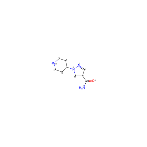 NC(=O)C1C=NN(C2CCNCC2)C1